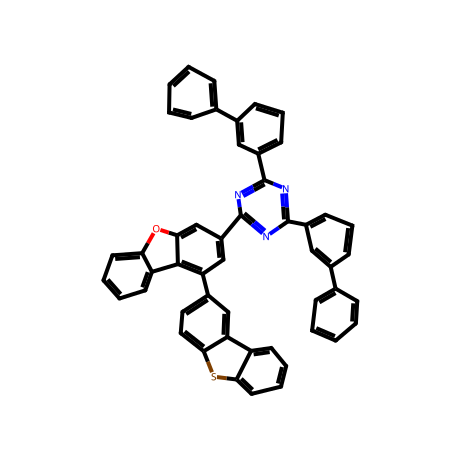 c1ccc(-c2cccc(-c3nc(-c4cccc(-c5ccccc5)c4)nc(-c4cc(-c5ccc6sc7ccccc7c6c5)c5c(c4)oc4ccccc45)n3)c2)cc1